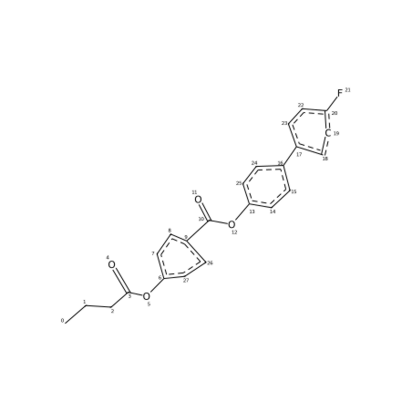 CCCC(=O)Oc1ccc(C(=O)Oc2ccc(-c3ccc(F)cc3)cc2)cc1